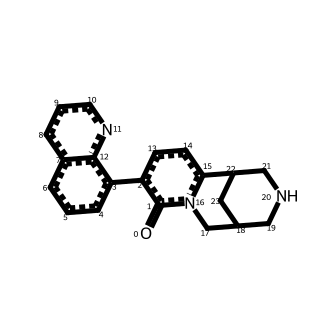 O=c1c(-c2cccc3cccnc23)ccc2n1CC1CNCC2C1